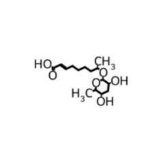 CC1O[C@@H](O[C@H](C)CCCC/C=C/C(=O)O)[C@@H](O)C[C@H]1O